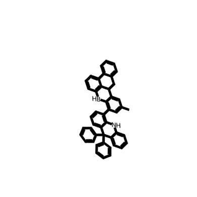 Cc1cc(-c2cccc3c2Nc2ccccc2C3(c2ccccc2)c2ccccc2)c2c(c1)C1Cc3ccccc3-c3cccc(c31)B2